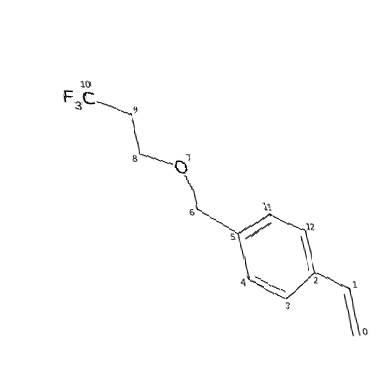 C=Cc1ccc(COCCC(F)(F)F)cc1